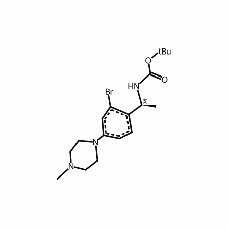 C[C@H](NC(=O)OC(C)(C)C)c1ccc(N2CCN(C)CC2)cc1Br